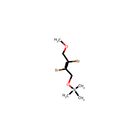 COCC(Br)=C(Br)CO[Si](C)(C)C